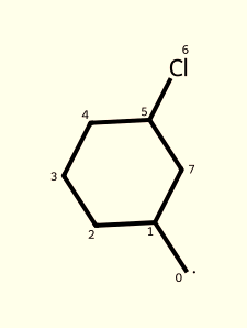 [CH2]C1CCCC(Cl)C1